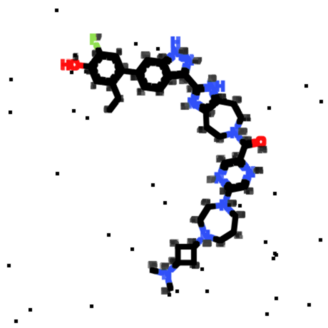 CCc1cc(O)c(F)cc1-c1ccc2c(-c3nc4c([nH]3)CCN(C(=O)c3cnc(N5CCCN(C6CC(N(C)C)C6)CC5)cn3)CC4)n[nH]c2c1